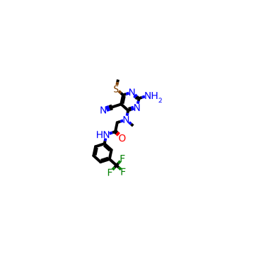 CSc1nc(N)nc(N(C)CC(=O)Nc2cccc(C(F)(F)F)c2)c1C#N